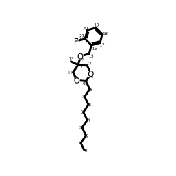 CCCCCCCCCC1OCC(C)(OCc2ccccc2F)CO1